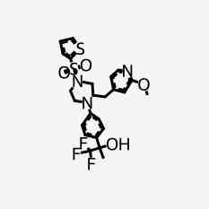 COc1cc(CC2CN(S(=O)(=O)c3cccs3)CCN2c2ccc(C(C)(O)C(F)(F)F)cc2)ccn1